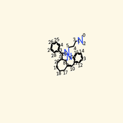 CN(C)CCCN1N=C2/C(=C\c3ccccc3)CCCCC2C1c1ccccc1